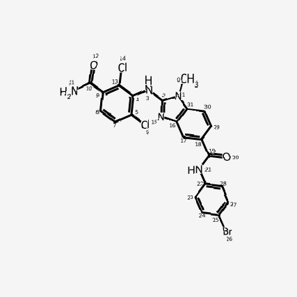 Cn1c(Nc2c(Cl)ccc(C(N)=O)c2Cl)nc2cc(C(=O)Nc3ccc(Br)cc3)ccc21